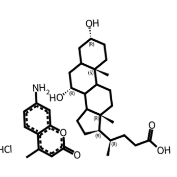 C[C@H](CCC(=O)O)[C@H]1CCC2C3C(CC[C@@]21C)[C@@]1(C)CC[C@@H](O)CC1C[C@H]3O.Cc1cc(=O)oc2cc(N)ccc12.Cl